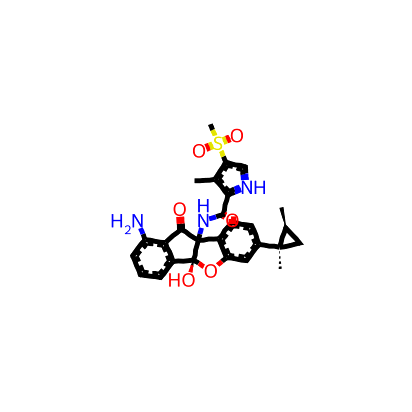 Cc1c(S(C)(=O)=O)c[nH]c1C(=O)NC12C(=O)c3c(N)cccc3[C@@]1(O)Oc1cc([C@]3(C)C[C@@H]3C)ccc12